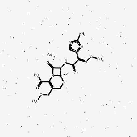 COCC1=C(C(=O)O)N2C(=O)[C@@H](NC(=O)/C(=N/OC)c3csc(N)n3)[C@H]2SC1.[CaH2]